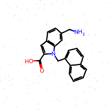 NCc1ccc2cc(C(=O)O)n(Cc3cccc4ccccc34)c2c1